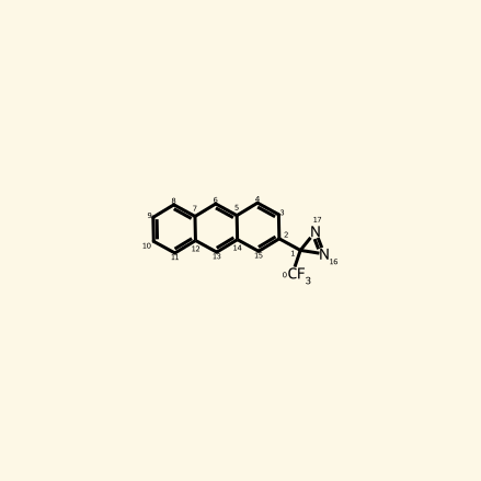 FC(F)(F)C1(c2ccc3cc4ccccc4cc3c2)N=N1